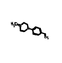 C=Cc1ccc(N2CCN(C)CC2)cc1